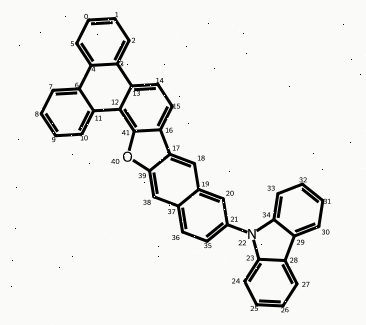 c1ccc2c(c1)c1ccccc1c1c2ccc2c3cc4cc(-n5c6ccccc6c6ccccc65)ccc4cc3oc21